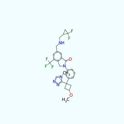 COC1CC(c2cccc(N3Cc4c(cc(CNCC5CC5(F)F)cc4C(F)(F)F)C3=O)c2)(c2nncn2C)C1